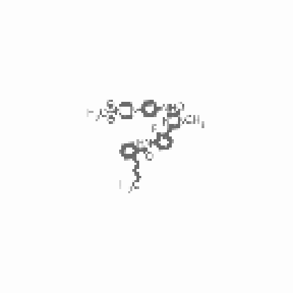 CCCCc1ccccc1C(=O)Nc1cccc(-c2cn(C)c(=O)c(Nc3ccc(N4CCN(S(C)(=O)=O)CC4)cc3)n2)c1F